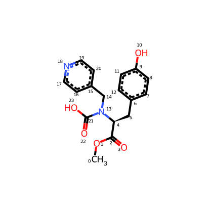 COC(=O)[C@H](Cc1ccc(O)cc1)N(Cc1ccncc1)C(=O)O